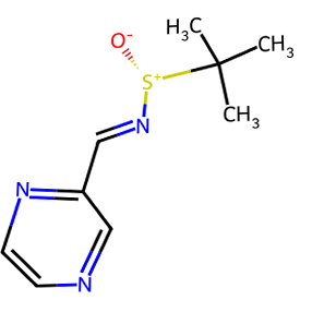 CC(C)(C)[S@@+]([O-])N=Cc1cnccn1